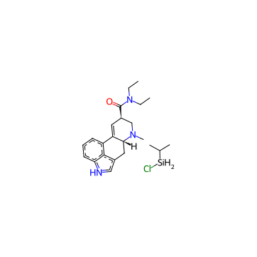 CC(C)[SiH2]Cl.CCN(CC)C(=O)[C@@H]1C=C2c3cccc4[nH]cc(c34)C[C@H]2N(C)C1